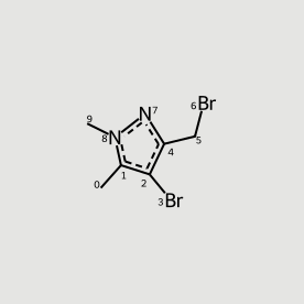 Cc1c(Br)c(CBr)nn1C